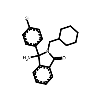 NC1(c2ccc(S)cc2)c2ccccc2C(=O)N1CC1CCCCC1